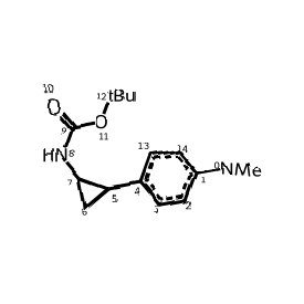 CNc1ccc(C2CC2NC(=O)OC(C)(C)C)cc1